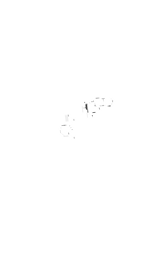 CC(C)c1nn(CC(=O)Nc2ccc(F)nc2)c(=O)c2cc3sc(Cl)cc3n12